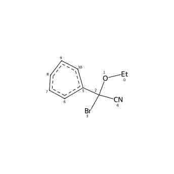 CCOC(Br)(C#N)c1ccccc1